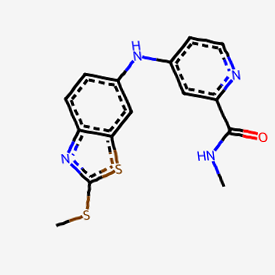 CNC(=O)c1cc(Nc2ccc3nc(SC)sc3c2)ccn1